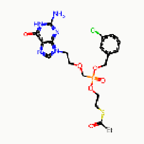 CCC(=O)SCCOP(=O)(COCCn1cnc2c(=O)[nH]c(N)nc21)OCc1cccc(Cl)c1